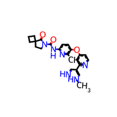 CN/C=C(\C=N)c1cc(Oc2ccc(NC(=O)N3CCC4(CCC4)C3=O)nc2C)ccn1